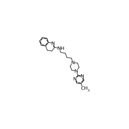 Cc1cnc(N2CCN(CCCCNC3=Nc4ccccc4CC3)CC2)nc1